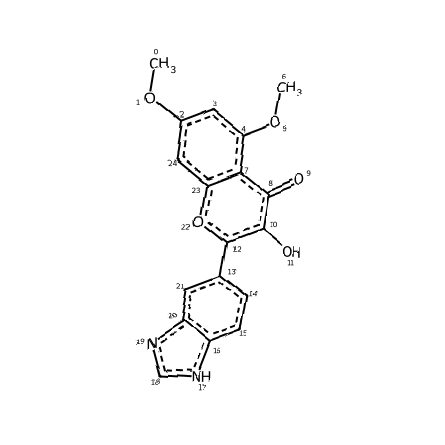 COc1cc(OC)c2c(=O)c(O)c(-c3ccc4[nH]cnc4c3)oc2c1